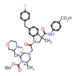 CC1COCCN1C[C@H]1CN(C(=O)OC(C)(C)C)[C@H](C)CN1CC(=O)N1CC(C)(C(=O)Nc2ccc(C(=O)O)cc2)c2ccc(Cc3ccc(F)cc3)cc21